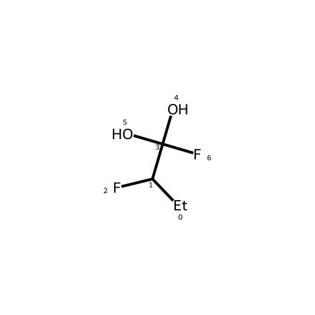 CCC(F)C(O)(O)F